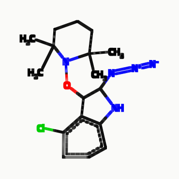 CC1(C)CCCC(C)(C)N1OC1c2c(Cl)cccc2NC1N=[N+]=[N-]